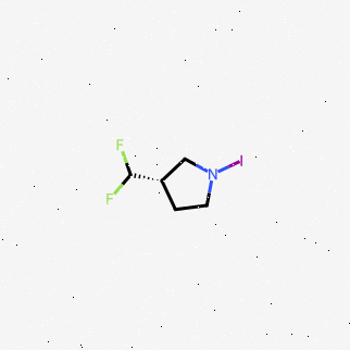 FC(F)[C@H]1CCN(I)C1